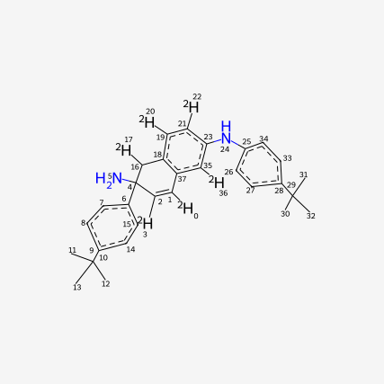 [2H]C1=C([2H])C(N)(c2ccc(C(C)(C)C)cc2)C([2H])c2c([2H])c([2H])c(Nc3ccc(C(C)(C)C)cc3)c([2H])c21